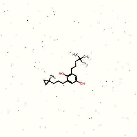 CC(C)(C)CCCc1cc(O)cc(CCCC2(C)CC2)c1O